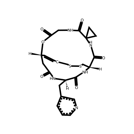 O=C1C[C@H]2/C=C/CCSSC[C@@H](NC(=O)[C@@H](Cc3cccnc3)N1)C(=O)NC1(CC1)C(=O)NCC(=O)O2